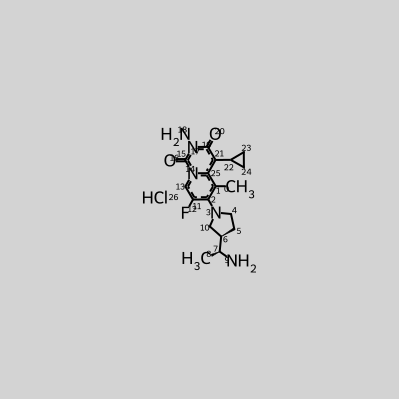 Cc1c(N2CC[C@@H]([C@H](C)N)C2)c(F)cn2c(=O)n(N)c(=O)c(C3CC3)c12.Cl